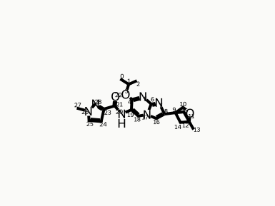 CC(C)Oc1nc2nc(C34COC(C)(C3)C4)cn2cc1NC(=O)c1ccn(C)n1